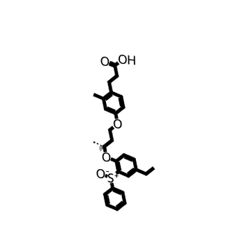 CCc1ccc(O[C@H](C)CCOc2ccc(CCC(=O)O)c(C)c2)c([S+]([O-])c2ccccc2)c1